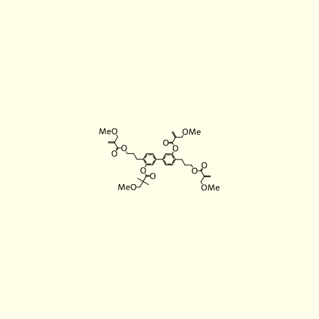 C=C(COC)C(=O)OCCCc1ccc(-c2ccc(CCCOC(=O)C(=C)COC)c(OC(=O)C(C)(C)COC)c2)cc1OC(=O)C(=C)COC